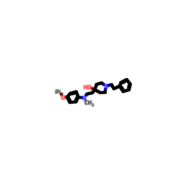 CC(C)Oc1ccc(N(C)CCC2(O)CCN(CCc3ccccc3)CC2)cc1